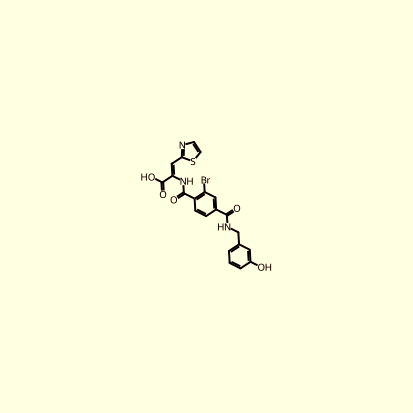 O=C(O)/C(=C/c1nccs1)NC(=O)c1ccc(C(=O)NCc2cccc(O)c2)cc1Br